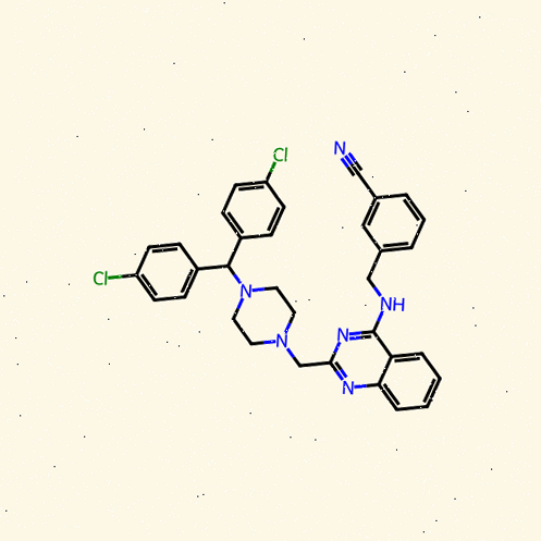 N#Cc1cccc(CNc2nc(CN3CCN(C(c4ccc(Cl)cc4)c4ccc(Cl)cc4)CC3)nc3ccccc23)c1